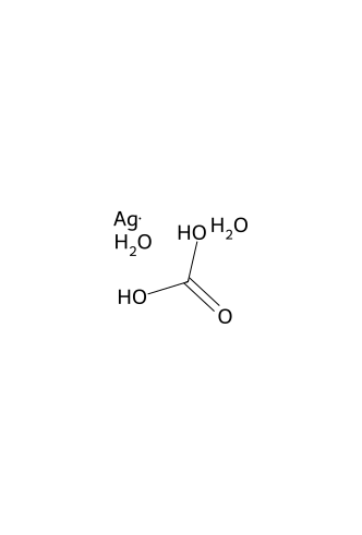 O.O.O=C(O)O.[Ag]